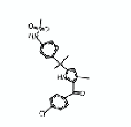 Cc1cc(C(C)(C)c2ccc(NS(C)(=O)=O)cc2)[nH]c1C(=O)c1ccc(Cl)cc1